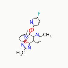 Cc1ccc(-c2nc(C)no2)c(C(=O)N2C3CCC2C(COc2ccc(F)cn2)C3)n1